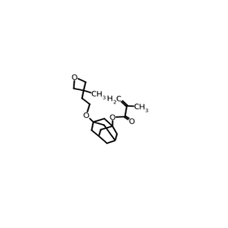 C=C(C)C(=O)OC12CC3CC(CC(OCCC4(C)COC4)(C3)C1)C2